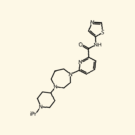 CC(C)N1CCC(N2CCCN(c3cccc(C(=O)Nc4cncs4)n3)CC2)CC1